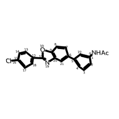 CC(=O)Nc1cccc(-c2ccc3oc(-c4ccc(Cl)cc4)nc3c2)c1